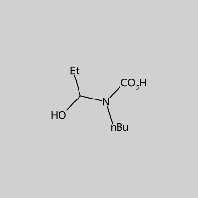 CCCCN(C(=O)O)C(O)CC